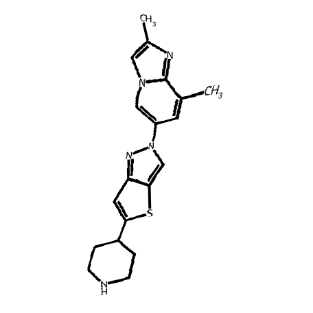 Cc1cn2cc(-n3cc4sc(C5CCNCC5)cc4n3)cc(C)c2n1